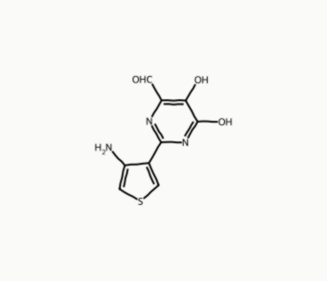 Nc1cscc1-c1nc(O)c(O)c(C=O)n1